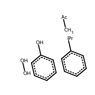 CC(C)=O.CC(C)c1ccccc1.OO.Oc1ccccc1